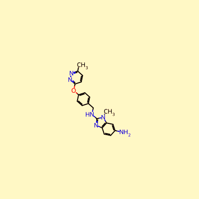 Cc1ccc(Oc2ccc(CNc3nc4ccc(N)cc4n3C)cc2)nn1